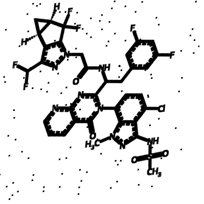 Cn1nc(NS(C)(=O)=O)c2c(Cl)ccc(-n3c(C(Cc4cc(F)cc(F)c4)NC(=O)Cn4nc(C(F)F)c5c4C(F)(F)[C@@H]4C[C@H]54)nc4ncccc4c3=O)c21